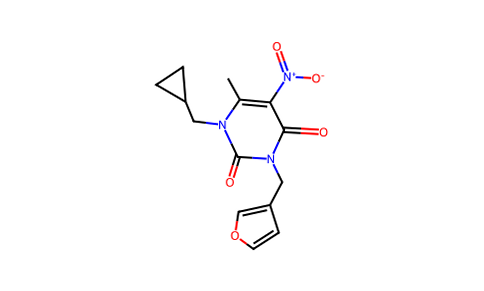 Cc1c([N+](=O)[O-])c(=O)n(Cc2ccoc2)c(=O)n1CC1CC1